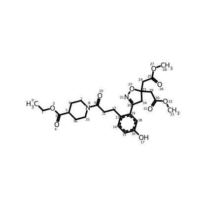 CCOC(=O)C1CCN(C(=O)CCc2ccc(O)cc2C2=NOC(CC(=O)OC)(CC(=O)OC)C2)CC1